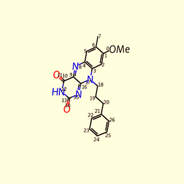 COc1cc2c(cc1C)nc1c(=O)[nH]c(=O)nc-1n2CCCc1ccccc1